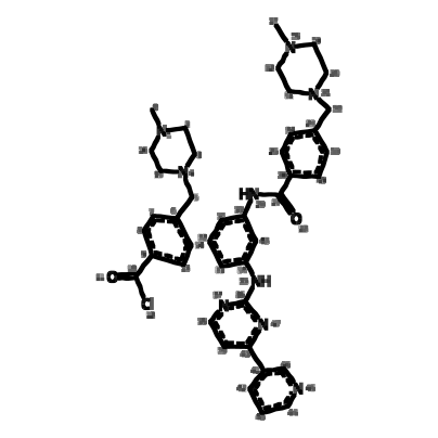 CN1CCN(Cc2ccc(C(=O)Cl)cc2)CC1.CN1CCN(Cc2ccc(C(=O)Nc3cccc(Nc4nccc(-c5cccnc5)n4)c3)cc2)CC1